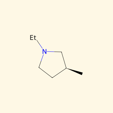 [CH2]CN1CC[C@H](C)C1